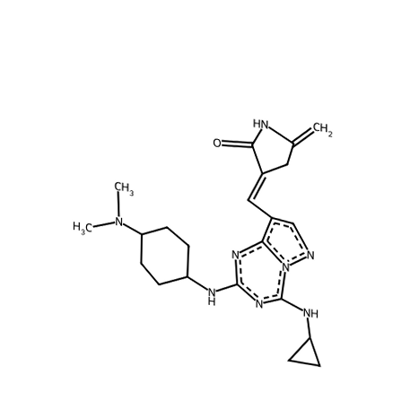 C=C1C/C(=C\c2cnn3c(NC4CC4)nc(NC4CCC(N(C)C)CC4)nc23)C(=O)N1